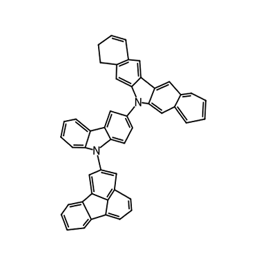 C1=Cc2cc3c4cc5ccccc5cc4n(-c4ccc5c(c4)c4ccccc4n5-c4cc5c6c(cccc6c4)-c4ccccc4-5)c3cc2CC1